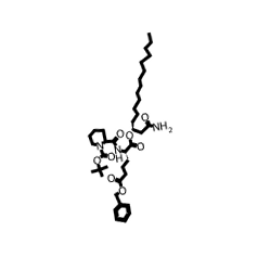 CCCCCCCCCCCCC[C@@H](CC(N)=O)OC(=O)[C@H](CCCC(=O)OCc1ccccc1)NC(=O)C1CCCCN1C(=O)OC(C)(C)C